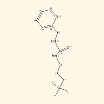 C[Si](C)(C)CCCNC(=O)NCc1ccccn1